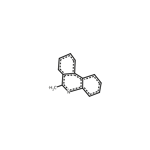 [CH2]c1nc2ccccc2c2ccccc12